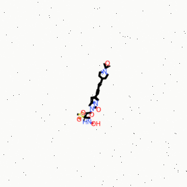 C[C@@](CCN1Cc2cc(C#CC#CC3CCN(C4COC4)CC3)cn2C1=O)(C(=O)NO)S(C)(=O)=O